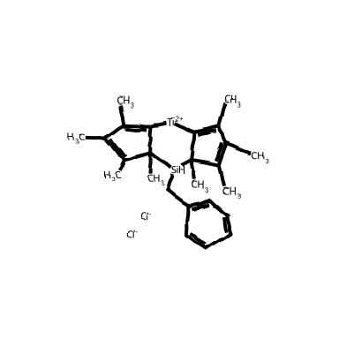 CC1=C(C)C2(C)[C](=C1C)[Ti+2][C]1=C(C)C(C)=C(C)C1(C)[SiH]2Cc1ccccc1.[Cl-].[Cl-]